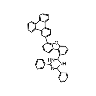 c1ccc(C2=NC(c3ccccc3)NC(c3cccc4oc5c(-c6ccc7c8ccccc8c8ccccc8c7c6)cccc5c34)N2)cc1